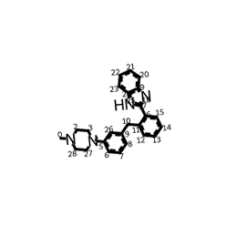 CN1CCN(c2cccc(Cc3ccccc3-c3nc4ccccc4[nH]3)c2)CC1